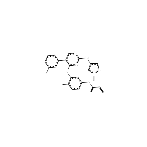 C=CC(=O)Nc1ccc(F)c(Nc2nc(Nc3cnn(C)c3)ncc2-c2cccc(Br)c2)c1